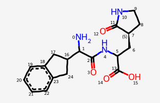 NC(C(=O)NC(C[C@@H]1CCNC1=O)C(=O)O)C1Cc2ccccc2C1